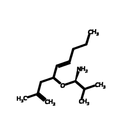 C=C(C)CC(/C=C/CCC)O[C@@H](N)C(C)C